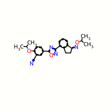 CC(C)O/N=C1/CCc2c1cccc2-c1noc(-c2ccc(OC(C)C)c(C#N)c2)n1